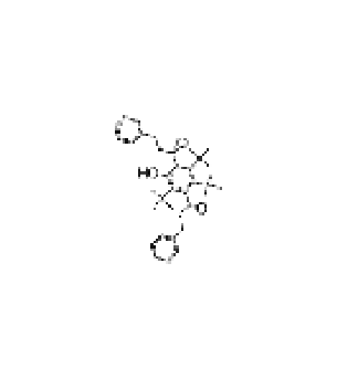 CC(C)(C)c1c(O)c(C(=O)CCc2ccccc2)c(C(C)(C)C)c(C(C)(C)C)c1C(=O)CCc1ccccc1